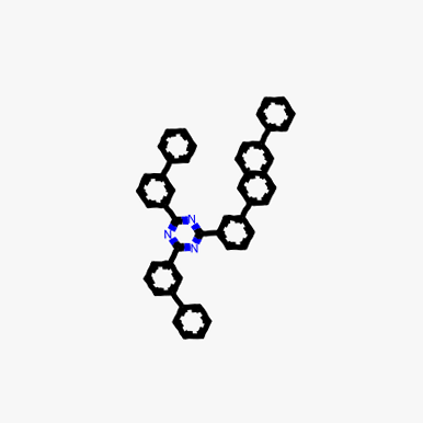 c1ccc(-c2cccc(-c3nc(-c4cccc(-c5ccccc5)c4)nc(-c4cccc(-c5ccc6cc(-c7ccccc7)ccc6c5)c4)n3)c2)cc1